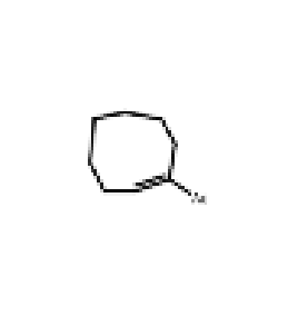 [CH2]C(=O)/C1=C/CCCCCC1